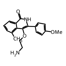 COc1ccc(-c2[nH]c(=O)c3cccc(C)c3c2OCCN)cc1